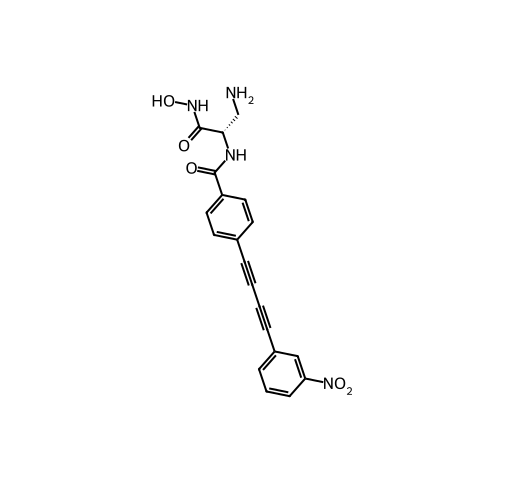 NC[C@H](NC(=O)c1ccc(C#CC#Cc2cccc([N+](=O)[O-])c2)cc1)C(=O)NO